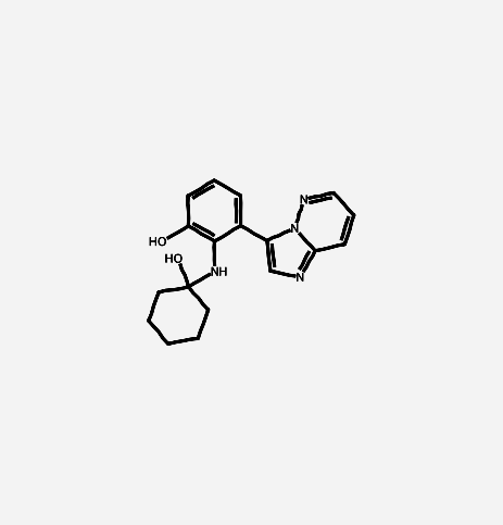 Oc1cccc(-c2cnc3cccnn23)c1NC1(O)CCCCC1